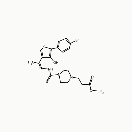 COC(=O)CCN1CCN(C(=S)NN=C(C)c2csc(-c3ccc(Br)cc3)c2O)CC1